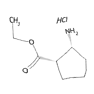 CCOC(=O)[C@H]1CCC[C@H]1N.Cl